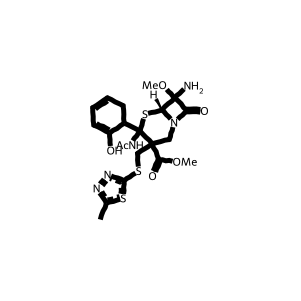 COC(=O)C1(CSc2nnc(C)s2)CN2C(=O)C(N)(OC)[C@H]2SC1(NC(C)=O)C1CC=CC=C1O